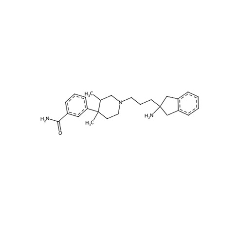 CC1CN(CCCC2(N)Cc3ccccc3C2)CCC1(C)c1cccc(C(N)=O)c1